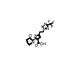 O=C(O)c1cc(CCn2nnc(C(F)(F)F)n2)nn1-c1ncccc1Cl